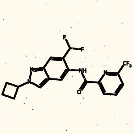 O=C(Nc1cc2cn(C3CCC3)nc2cc1C(F)F)c1cccc(C(F)(F)F)n1